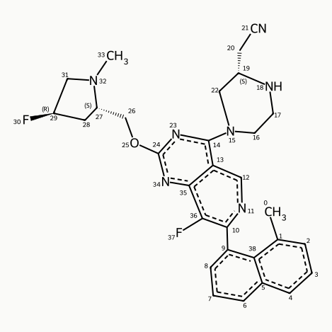 Cc1cccc2cccc(-c3ncc4c(N5CCN[C@@H](CC#N)C5)nc(OC[C@@H]5C[C@@H](F)CN5C)nc4c3F)c12